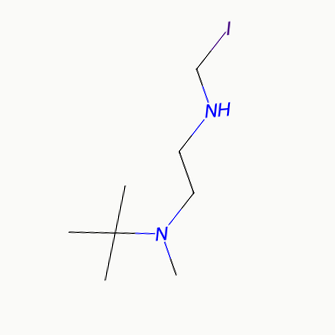 CN(CCNCI)C(C)(C)C